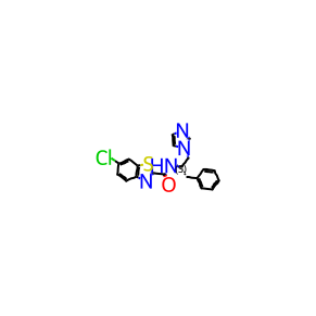 O=C(N[C@@H](Cc1ccccc1)Cn1ccnc1)c1nc2ccc(Cl)cc2s1